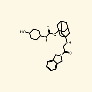 O=C(NC1CCC(O)CC1)OC12CC3CC(CC(NCC(=O)N4Cc5ccccc5C4)(C3)C1)C2